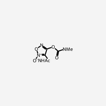 CNC(=O)Oc1no[n+]([O-])c1NC(C)=O